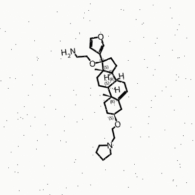 C[C@]12CC[C@H](OCCN3CCCC3)CC1=CC[C@@H]1[C@@H]2CC[C@@]2(C)[C@H]1CC[C@@]2(OCCN)c1ccoc1